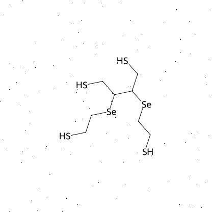 SCC[Se]C(CS)C(CS)[Se]CCS